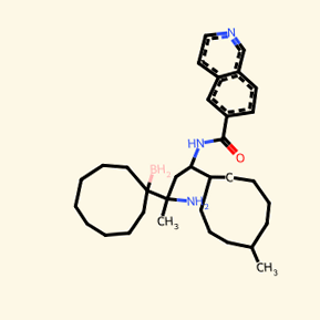 BC1(C(C)(N)CC(NC(=O)c2ccc3cnccc3c2)C2CCCCC(C)CCC2)CCCCCCCC1